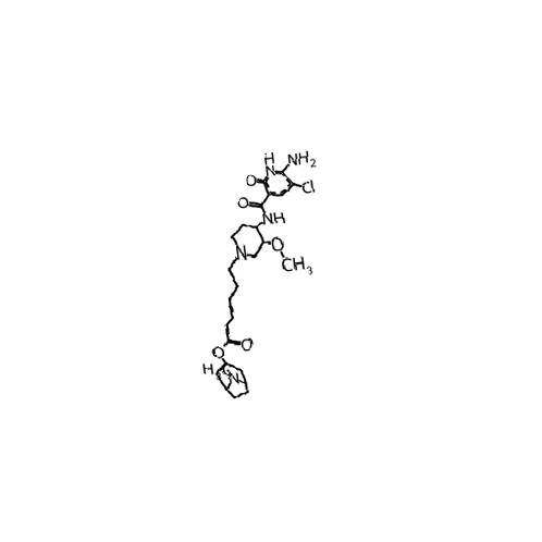 CO[C@H]1CN(CCCCCC(=O)OC2CC3CCC(C2)N3C)CC[C@H]1NC(=O)c1cc(Cl)c(N)[nH]c1=O